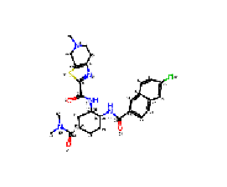 CN1CCc2nc(C(=O)N[C@@H]3C[C@@H](C(=O)N(C)C)CC[C@@H]3NC(=O)c3ccc4cc(Cl)ccc4c3)sc2C1